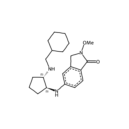 CON1Cc2cc(N[C@H]3CCC[C@@H]3NCC3CCCCC3)ccc2C1=O